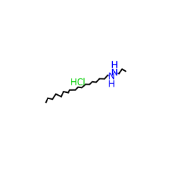 CCCCCCCCCCCCCCCCCCNNCCC.Cl